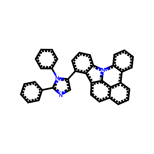 c1ccc(-c2ncc(-c3cccc4c3c3ccc5cccc6c7ccccc7n4c3c56)n2-c2ccccc2)cc1